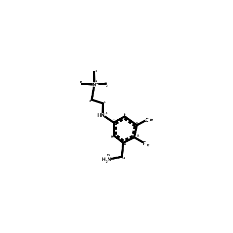 C[N+](C)(C)CCNc1cc(Cl)c(F)c(CN)c1